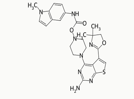 Cn1ccc2cc(NC(=O)ON3CCN(c4nc(N)nc5scc(C6=NC(C)(C)CO6)c45)CC3)ccc21